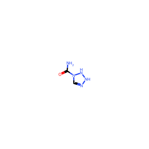 NC(=O)N1C=NNN1